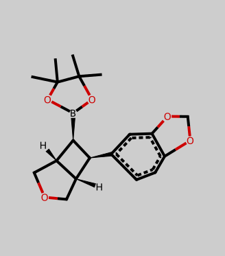 CC1(C)OB([C@@H]2[C@H]3COC[C@H]3[C@@H]2c2ccc3c(c2)OCO3)OC1(C)C